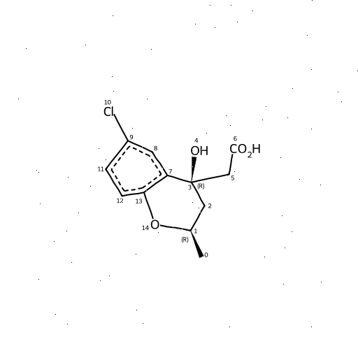 C[C@@H]1C[C@@](O)(CC(=O)O)c2cc(Cl)ccc2O1